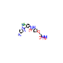 CN(C)c1ccc2[nH]c(-c3cc(NC(=O)c4ccc(OCCC(=O)NO)cc4)ccc3Cl)nc2c1